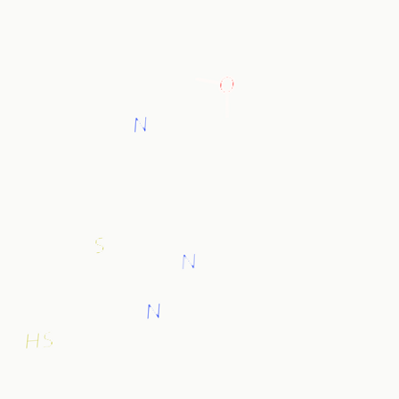 Sc1nnc(-c2ncoc2-c2ccccc2)s1